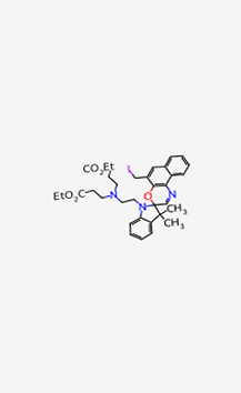 CCOC(=O)CCN(CCC(=O)OCC)CCN1c2ccccc2C(C)(C)C12C=Nc1c(c(CI)cc3ccccc13)O2